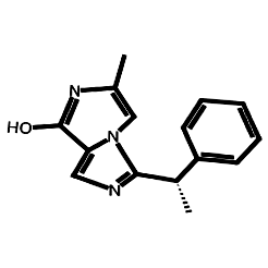 Cc1cn2c([C@@H](C)c3ccccc3)ncc2c(O)n1